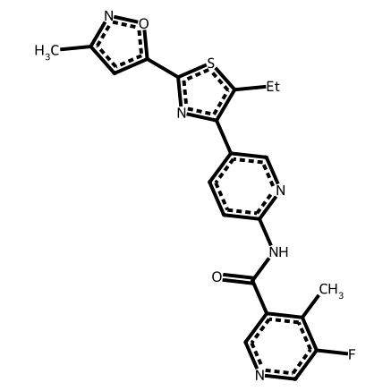 CCc1sc(-c2cc(C)no2)nc1-c1ccc(NC(=O)c2cncc(F)c2C)nc1